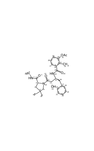 CCCNC(=O)C1CC(F)(F)CN1C(=O)[C@@H](O)[C@H](Cc1ccccc1)NC(=O)c1cccc(OC(C)=O)c1C